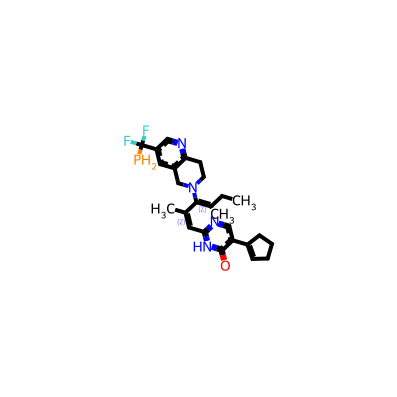 CC/C(C)=C(/C(C)=C\c1ncc(C2=CCCC2)c(=O)[nH]1)N1CCc2ncc(C(F)(F)P)cc2C1